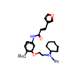 COc1ccc(NC(=O)/C=C/c2ccoc2)cc1OCCN(C(C)C)C1CCCCC1